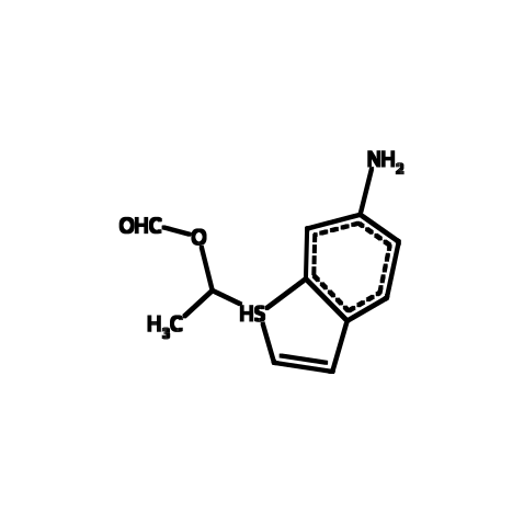 CC(OC=O)[SH]1C=Cc2ccc(N)cc21